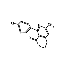 Cc1cc2c(c(-c3ccc(Cl)cc3)n1)C(=O)OCC2